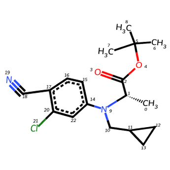 C[C@@H](C(=O)OC(C)(C)C)N(CC1CC1)c1ccc(C#N)c(Cl)c1